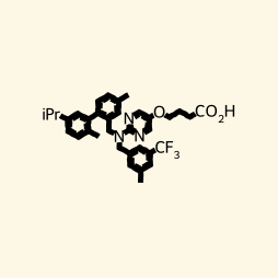 Cc1cc(CN(Cc2cc(C)ccc2-c2cc(C(C)C)ccc2C)c2ncc(OCCCC(=O)O)cn2)cc(C(F)(F)F)c1